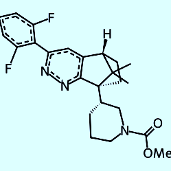 COC(=O)N1CCC[C@H]([C@@]23CC[C@@H](c4cc(-c5c(F)cccc5F)nnc42)C3(C)C)C1